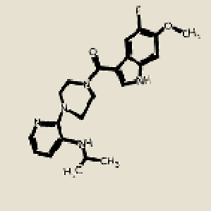 COc1cc2[nH]cc(C(=O)N3CCN(c4ncccc4NC(C)C)CC3)c2cc1F